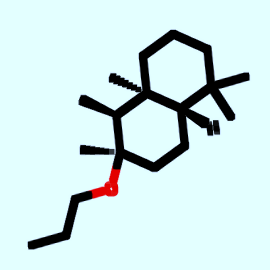 CCCO[C@]1(C)CC[C@H]2C(C)(C)CCC[C@]2(C)[C@@H]1C